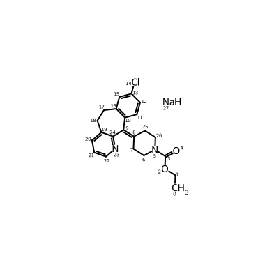 CCOC(=O)N1CCC(=C2c3ccc(Cl)cc3CCc3cccnc32)CC1.[NaH]